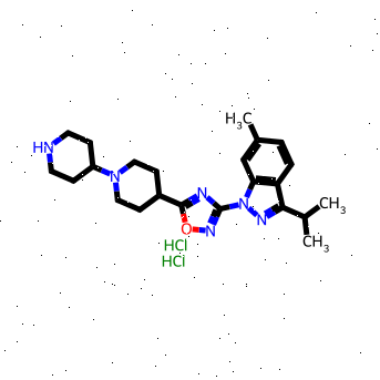 Cc1ccc2c(C(C)C)nn(-c3noc(C4CCN(C5CCNCC5)CC4)n3)c2c1.Cl.Cl